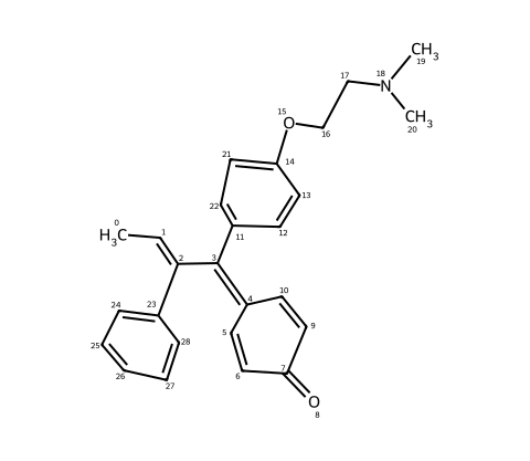 C/C=C(/C(=C1C=CC(=O)C=C1)c1ccc(OCCN(C)C)cc1)c1ccccc1